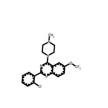 CN1CCN(c2nc(-c3ccccc3Cl)nc3ccc(OC(F)(F)F)cc23)CC1